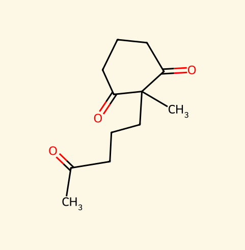 CC(=O)CCCC1(C)C(=O)CCCC1=O